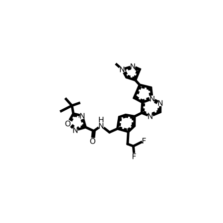 Cn1cc(-c2cc3c(-c4ccc(CNC(=O)c5noc(C(C)(C)C)n5)c(CC(F)F)c4)ncnn3c2)cn1